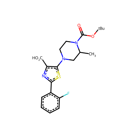 CC1CN(c2sc(-c3ccccc3F)nc2C(=O)O)CCN1C(=O)OC(C)(C)C